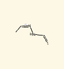 C/C=N\NC=S